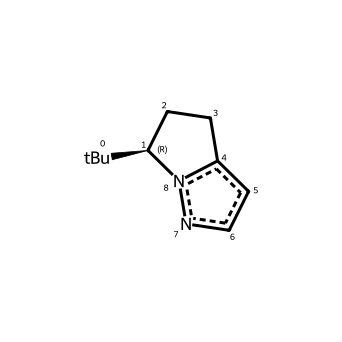 CC(C)(C)[C@H]1CCc2ccnn21